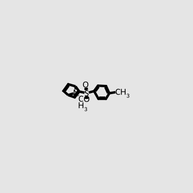 Cc1ccc(S(=O)(=O)C2=CC3C=CC2N3C)cc1